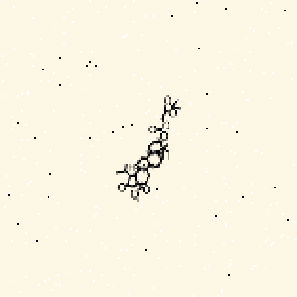 COC(=O)[C@@]12CC[C@]3(C)[C@H](CCC4[C@@]5(C)CC[C@H](OC(=O)OCC6COC(C)(C)O6)C(C)(C)[C@@H]5CC[C@]43C)C1=C(C(C)C)C(=O)C2